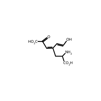 NC(CC(C=CO)=CC(=O)C(=O)O)C(=O)O